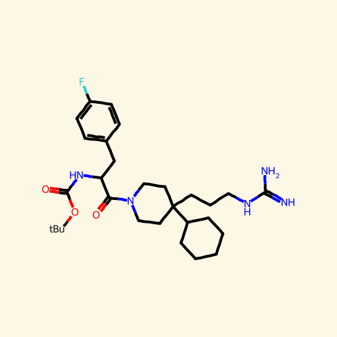 CC(C)(C)OC(=O)NC(Cc1ccc(F)cc1)C(=O)N1CCC(CCCNC(=N)N)(C2CCCCC2)CC1